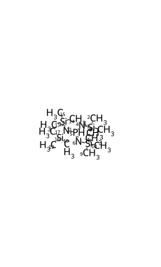 C[Si](C)(C)[N]/[PH](=N\[Si](C)(C)C)N([Si](C)(C)C)[Si](C)(C)C